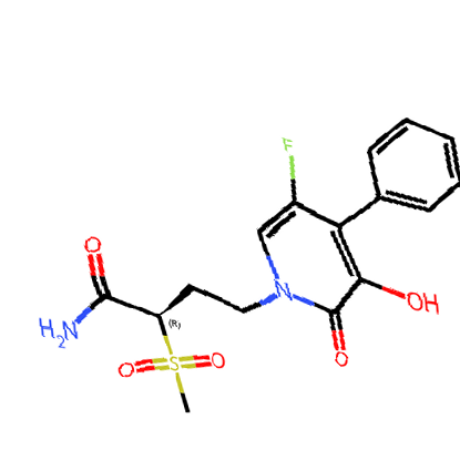 CS(=O)(=O)[C@H](CCn1cc(F)c(-c2ccccc2)c(O)c1=O)C(N)=O